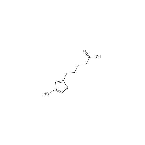 O=C(O)CCCCc1cc(O)cs1